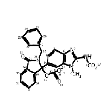 Cn1c(NC(=O)O)nc2ccc(C3(OC(=O)C(F)(F)F)c4ccccc4C(=O)N3Cc3ccccc3)cc21